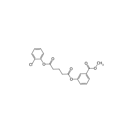 COC(=O)c1cccc(OC(=O)CCCC(=O)Oc2ccccc2Cl)c1